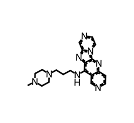 CN1CCN(CCCNc2c3cnccc3nc3c2nc2cnccn23)CC1